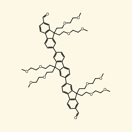 COCCOCCC1(CCOCCOC)c2cc(C=O)ccc2-c2ccc(-c3ccc4c(c3)C(CCOCCOC)(CCOCCOC)c3cc(-c5ccc6c(c5)C(CCOCCOC)(CCOCCOC)c5cc(C=O)ccc5-6)ccc3-4)cc21